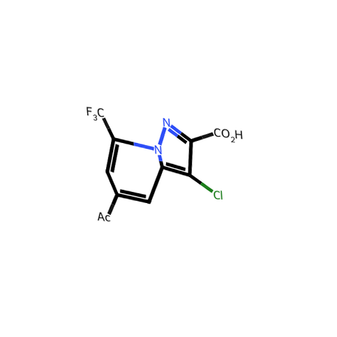 CC(=O)c1cc(C(F)(F)F)n2nc(C(=O)O)c(Cl)c2c1